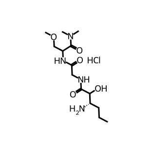 CCC[C@H](N)C(O)C(=O)NCC(=O)NC(COC)C(=O)N(C)C.Cl